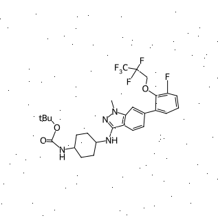 Cn1nc(NC2CCC(NC(=O)OC(C)(C)C)CC2)c2ccc(-c3cccc(F)c3OCC(F)(F)C(F)(F)F)cc21